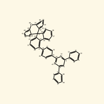 c1ccc(-c2cc(-c3ccccc3)nc(-c3ccc(-c4cccc5c4-c4ccccc4C54c5ccccc5Oc5ccccc54)cc3)n2)cc1